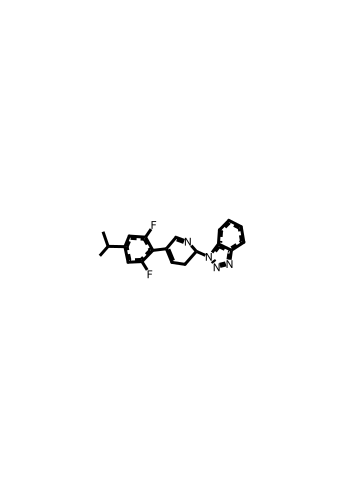 CC(C)c1cc(F)c(C2=CCC(n3nnc4ccccc43)N=C2)c(F)c1